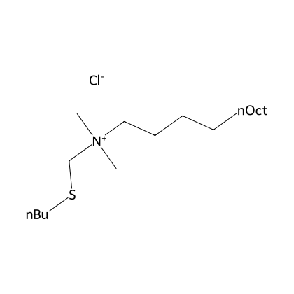 CCCCCCCCCCCC[N+](C)(C)CSCCCC.[Cl-]